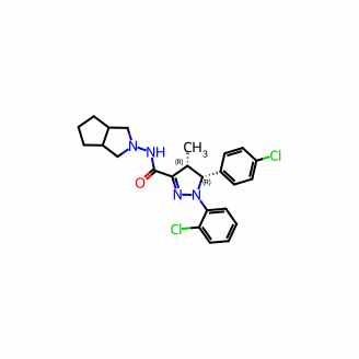 C[C@H]1C(C(=O)NN2CC3CCCC3C2)=NN(c2ccccc2Cl)[C@H]1c1ccc(Cl)cc1